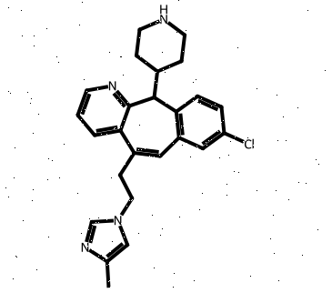 Cc1cn(CCC2=Cc3cc(Cl)ccc3C(C3CCNCC3)c3ncccc32)cn1